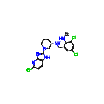 CCNc1c(Cl)cc(Cl)cc1CN[C@H]1CCCN(c2nc3nc(Cl)ccc3[nH]2)C1